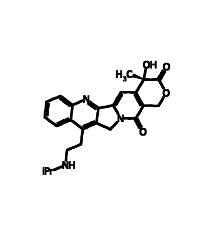 CC(C)NCCc1c2c(nc3ccccc13)-c1cc3c(c(=O)n1C2)COC(=O)[C@@]3(C)O